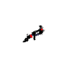 C#CCCCN(/C=C/N=N/Nc1ccc([N+](=O)[O-])cc1)c1cc(OCCCCCCOC(=O)C(=C)C)cc(C)c1/C=C/C(=O)Oc1c(F)cc(C2CCC(CCC)CC2)cc1F